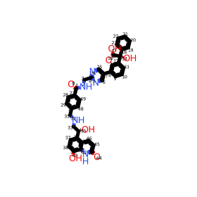 O=C(NCc1ncc(-c2cccc([C@](O)(C(=O)O)c3ccccc3)c2)cn1)c1ccc(CNC[C@H](O)c2ccc(O)c3[nH]c(=O)ccc23)cc1